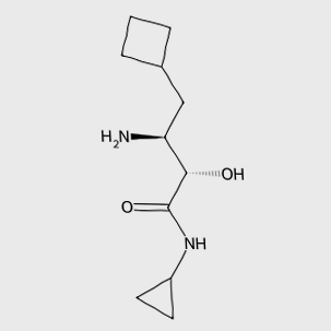 N[C@@H](CC1CCC1)[C@H](O)C(=O)NC1CC1